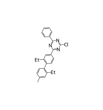 CCc1cc(C)ccc1-c1ccc(-c2nc(Cl)nc(-c3ccccc3)n2)cc1CC